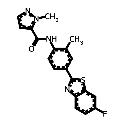 Cc1cc(-c2nc3ccc(F)cc3s2)ccc1NC(=O)c1ccnn1C